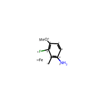 COc1ccc(N)c(C)c1F.[Fe]